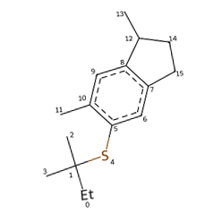 CCC(C)(C)Sc1cc2c(cc1C)C(C)CC2